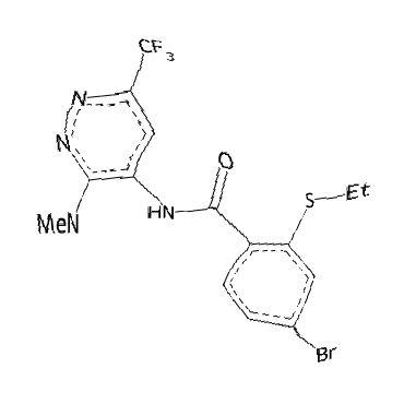 CCSc1cc(Br)ccc1C(=O)Nc1cc(C(F)(F)F)nnc1NC